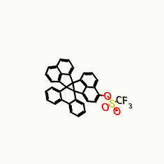 O=S(=O)(Oc1ccc2c3c(cccc13)C13c4cccc5cccc(c45)C14c1ccccc1-c1ccccc1C243)C(F)(F)F